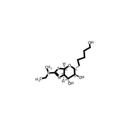 CCN(C)C1=N[C@@H]2[C@@H](O)[C@H](O)[C@@H](CCCCCO)O[C@@H]2S1